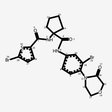 O=C(NC1(C(=O)Nc2ccc(N3CCOCC3=O)c(Br)c2)CCCC1)c1ccc(Br)s1